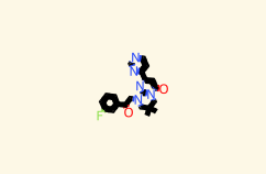 CC1(C)CN(CC(=O)c2cccc(F)c2)c2nc(-c3ccncn3)cc(=O)n2C1